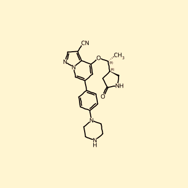 C[C@@H](Oc1cc(-c2ccc(N3CCNCC3)cc2)cn2ncc(C#N)c12)[C@H]1CNC(=O)C1